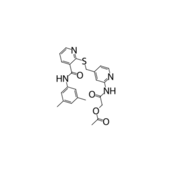 CC(=O)OCC(=O)Nc1cc(CSc2ncccc2C(=O)Nc2cc(C)cc(C)c2)ccn1